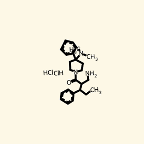 CCC(c1ccccc1)C(CN)C(=O)N1CCC(c2ccccc2)(N(C)C)CC1.Cl.Cl